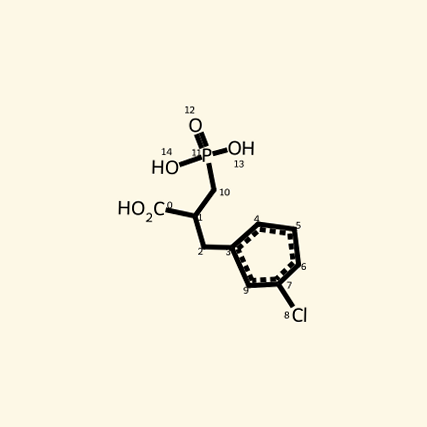 O=C(O)C(Cc1cccc(Cl)c1)CP(=O)(O)O